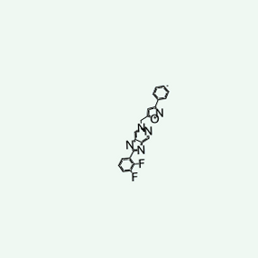 Fc1cccc(-c2nc3cnn(Cc4cc(-c5cc[c]cc5)no4)cc-3n2)c1F